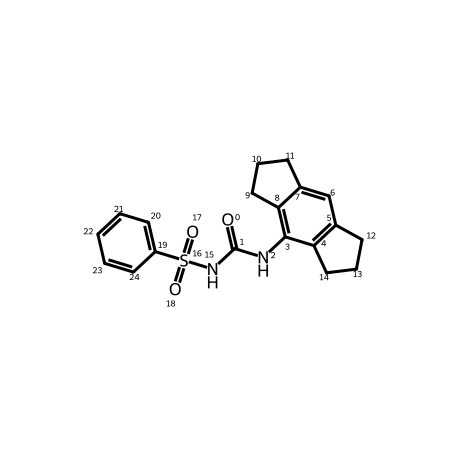 O=C(Nc1c2c(cc3c1CCC3)CCC2)NS(=O)(=O)c1ccccc1